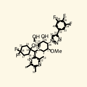 CO[C@H]1C[SH](C(c2nc(C)c(C)nc2C)C2(O)CCC(F)(F)CC2)[C@H](CO)[C@H](O)[C@@H]1n1cc(-c2cc(F)c(F)c(F)c2)nn1